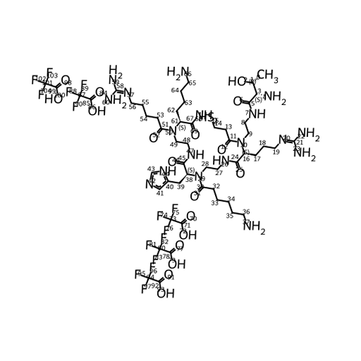 C[C@@H](O)[C@H](N)C(=O)NCCN(C(=O)CCS)[C@@H](CCCN=C(N)N)C(=O)NCCN(C(=O)CCCCCN)[C@@H](Cc1cnc[nH]1)C(=O)NCCN(C(=O)CCCCN=C(N)N)[C@@H](CCCCN)C(N)=O.O=C(O)C(F)(F)F.O=C(O)C(F)(F)F.O=C(O)C(F)(F)F.O=C(O)C(F)(F)F.O=C(O)C(F)(F)F